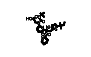 CCC(C)(C)c1ccc(CC(N)(c2cccc(N(CC(=O)O)C(=O)OC(C)(C)C)n2)S(=O)(=O)c2ccccn2)s1